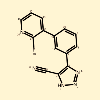 N#Cc1[nH]nnc1-c1cccc(-c2cccnc2F)c1